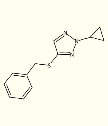 c1ccc(CSc2cnn(C3CC3)n2)cc1